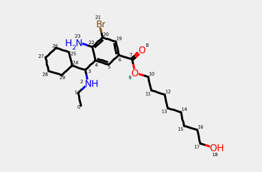 CCNC(c1cc(C(=O)OCCCCCCCCO)cc(Br)c1N)C1CCCCC1